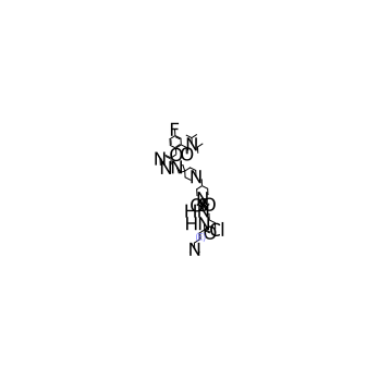 CC(C)N(C(=O)c1cc(F)ccc1Oc1cncnc1N1CC2(CCN(CC3CCN(S(=O)(=O)NCC(CCl)NC(=O)/C=C/CN(C)C)CC3)CC2)C1)C(C)C